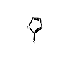 [K][c]1ccco1